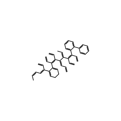 C=C/C=C(C(/C=C)=C(/C=C)C1=CCCC=C1/C(C=C)=C/C=C\C)\C(=C/C)C(\C=C)=C(\C=C)c1ccccc1-c1ccccc1